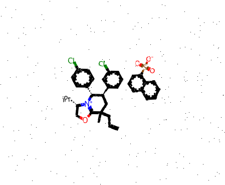 C=CCC1(C)C[C@H](c2cccc(Cl)c2)[C@@H](c2ccc(Cl)cc2)[N+]2=C1OC[C@@H]2C(C)C.O=S(=O)([O-])c1cccc2ccccc12